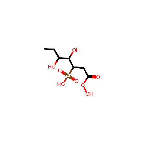 CCC(O)C(O)C(CC(=O)OO)S(=O)(=O)O